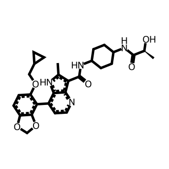 Cc1[nH]c2c(-c3c(OCC4CC4)ccc4c3OCO4)ccnc2c1C(=O)NC1CCC(NC(=O)[C@H](C)O)CC1